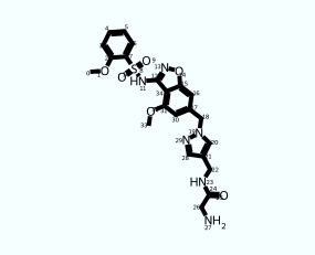 COc1ccccc1S(=O)(=O)Nc1noc2cc(Cn3cc(CNC(=O)CN)cn3)cc(OC)c12